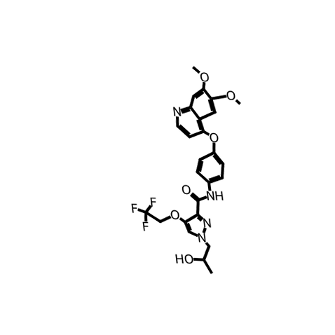 COc1cc2nccc(Oc3ccc(NC(=O)c4nn(CC(C)O)cc4OCC(F)(F)F)cc3)c2cc1OC